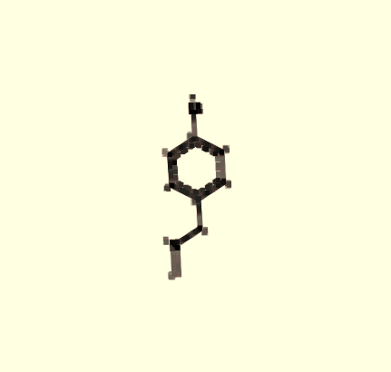 C=NCc1ccc(CC)cc1